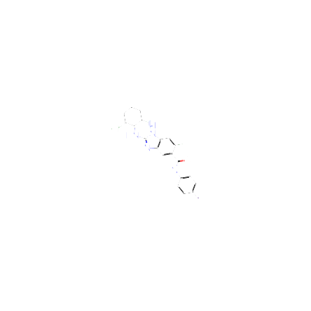 O=C(Nc1ccc(I)cc1)c1cc2nc(NC3C(Cl)CCCC3Cl)[nH]c2cc1Cl